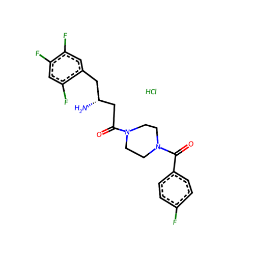 Cl.N[C@@H](CC(=O)N1CCN(C(=O)c2ccc(F)cc2)CC1)Cc1cc(F)c(F)cc1F